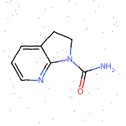 NC(=O)N1CCc2cccnc21